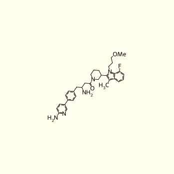 COCCCn1c(C2CCCN(C(=O)CC(N)Cc3ccc(-c4ccc(N)nc4)cc3)C2)c(C)c2cccc(F)c21